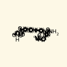 CN1CCN([C@@H]2CCCN(c3cnc(C(N)=O)c(Nc4ccc(C5CN(C6CCN(c7ccc8c(c7)C(=O)N(C7CCC(=O)NC7=O)C8=O)CC6)C5)cc4)n3)C2)C1=O